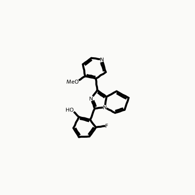 COc1ccncc1-c1nc(-c2c(O)cccc2F)n2ccccc12